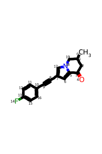 CC1CC(=O)c2cc(C#Cc3ccc(F)cc3)cn2C1